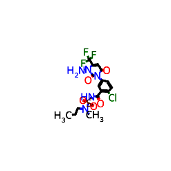 CCCN(C)S(=O)(=O)NC(=O)c1cc(-n2c(=O)cc(C(F)(F)F)n(N)c2=O)ccc1Cl